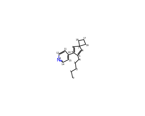 CCCCCC1=CC2(C=C1c1ccncc1)CCC2